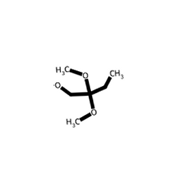 CCC(C[O])(OC)OC